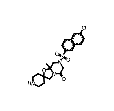 CC12CN(S(=O)(=O)c3ccc4cc(Cl)ccc4c3)CC(=O)N1CC1(CCNCC1)O2